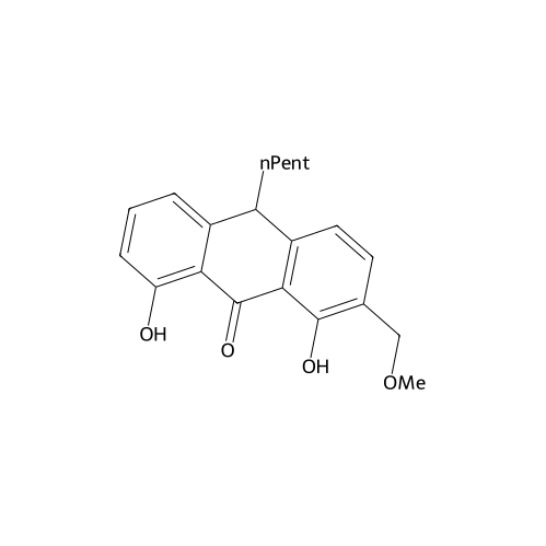 CCCCCC1c2cccc(O)c2C(=O)c2c1ccc(COC)c2O